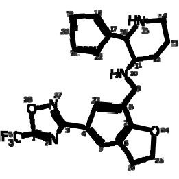 FC(F)(F)c1nc(-c2cc3c(c(CNC4CCCNC4c4ccccc4)c2)OCC3)no1